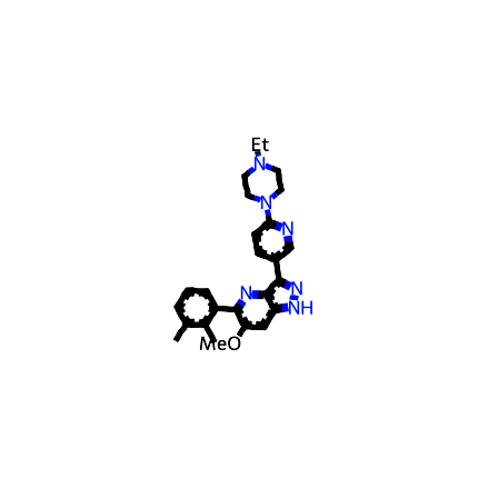 CCN1CCN(c2ccc(-c3n[nH]c4cc(OC)c(-c5cccc(C)c5C)nc34)cn2)CC1